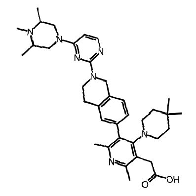 Cc1nc(C)c(-c2ccc3c(c2)CCN(c2nccc(N4CC(C)N(C)C(C)C4)n2)C3)c(N2CCC(C)(C)CC2)c1CC(=O)O